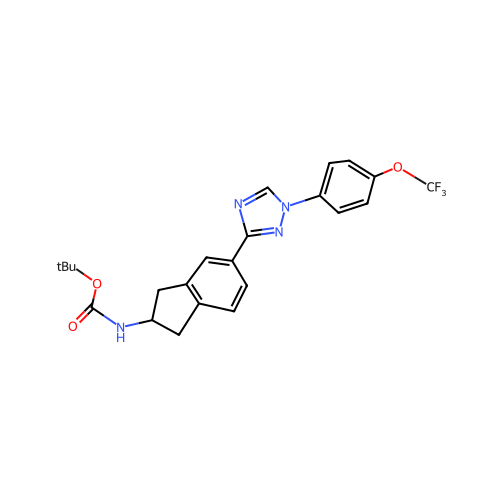 CC(C)(C)OC(=O)NC1Cc2ccc(-c3ncn(-c4ccc(OC(F)(F)F)cc4)n3)cc2C1